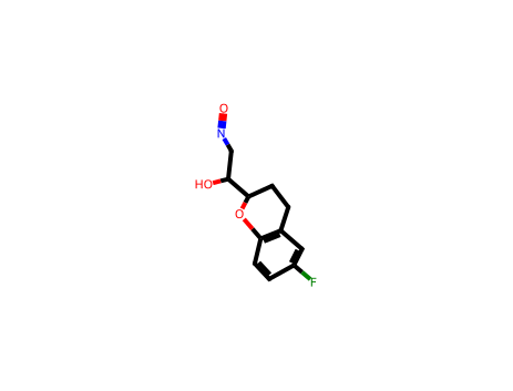 O=NCC(O)C1CCc2cc(F)ccc2O1